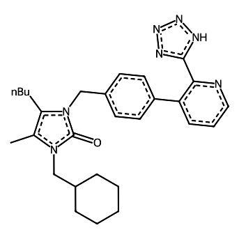 CCCCc1c(C)n(CC2CCCCC2)c(=O)n1Cc1ccc(-c2cccnc2-c2nnn[nH]2)cc1